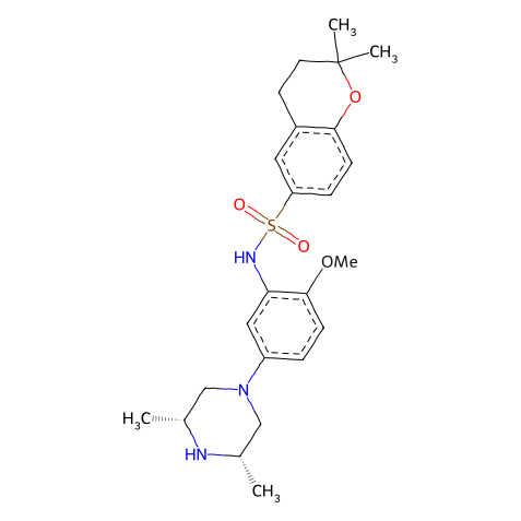 COc1ccc(N2C[C@@H](C)N[C@@H](C)C2)cc1NS(=O)(=O)c1ccc2c(c1)CCC(C)(C)O2